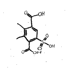 Cc1c(C(=O)O)cc(S(=O)(=O)O)c(C(=O)O)c1C